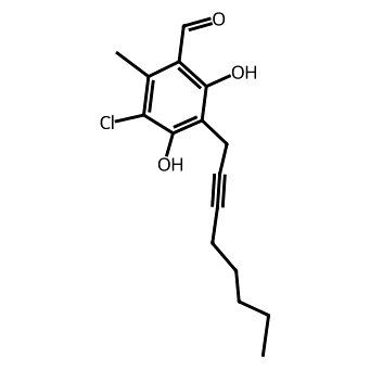 CCCCCC#CCc1c(O)c(Cl)c(C)c(C=O)c1O